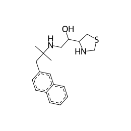 CC(C)(Cc1ccc2ccccc2c1)NCC(O)C1CSCN1